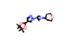 CC1(C)OC(c2cnn(C3CN(C4CCOCC4)C3)c2)OC1(C)C